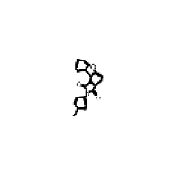 Cc1ccc(N2C(=O)C3CC=C4Oc5ccccc5C4C3C2=O)cc1